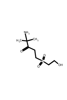 CC(C)(N)C(=O)CCS(=O)(=O)CCO